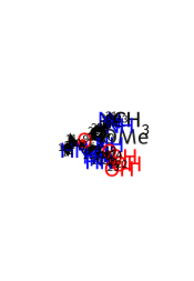 COc1c(Nc2cc(NC(=O)[C@@H]3CC34CC4)nnc2C(=O)NC(O)(O)O)cccc1C1N=CN(C)N1